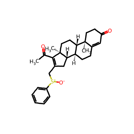 CC(=O)C1=C(C[S+]([O-])c2ccccc2)C[C@H]2[C@@H]3CCC4=CC(=O)CC[C@]4(C)[C@H]3CC[C@]12C